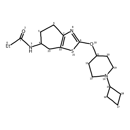 CCC(=O)NC1CCc2nc(OC3CCN(C4CCC4)CC3)sc2C1